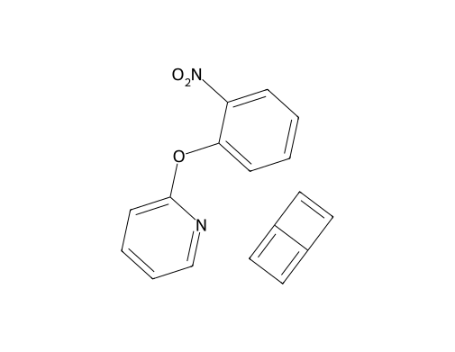 O=[N+]([O-])c1ccccc1Oc1ccccn1.c1cc2ccc1-2